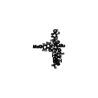 C=C[C@@H]1C[C@]1(NC(=O)[C@@H]1C[C@@H](Oc2nccc3cc(OC)ccc23)CN1C(=O)[C@@H](NC(=O)OC(C)(C)c1ccc(C(F)(F)F)cc1)C(C)(C)C)C(=O)NS(=O)(=O)C1CC1